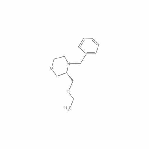 CCOC[C@H]1COCCN1Cc1ccccc1